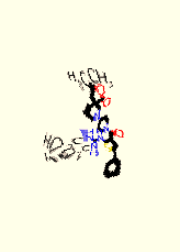 CC1(C)CC2(CCCN(C3CCN(C(=O)c4cc(-c5ccccc5)sc4NC(NC(=O)O)NC(=O)O)CC3)C2)C(=O)O1